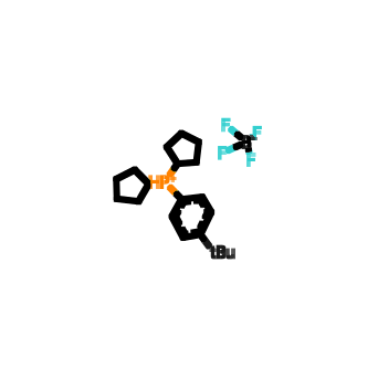 CC(C)(C)c1ccc([PH+](C2CCCC2)C2CCCC2)cc1.F[B-](F)(F)F